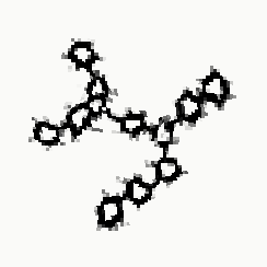 c1ccc(-c2ccc(-c3cccc(-c4nc(-c5ccc(-c6ccccc6)cc5)nc(-c5ccc(-n6c7ccc(-c8ccccc8)cc7c7cc(-c8ccccc8)ccc76)cc5)n4)c3)cc2)cc1